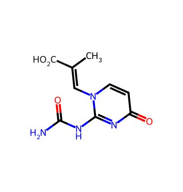 CC(=Cn1ccc(=O)nc1NC(N)=O)C(=O)O